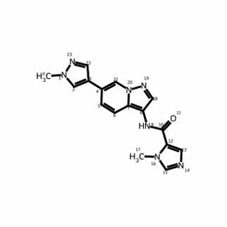 Cn1cc(-c2ccc3c(NC(=O)c4cncn4C)cnn3c2)cn1